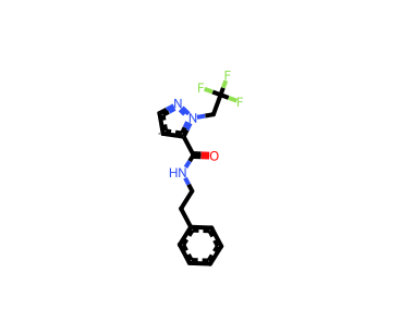 O=C(NCCc1ccccc1)c1[c]cnn1CC(F)(F)F